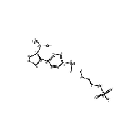 CC(C)S(=O)(=O)NCCCCCNc1ccc(N2CCCC2C(N)=O)cc1